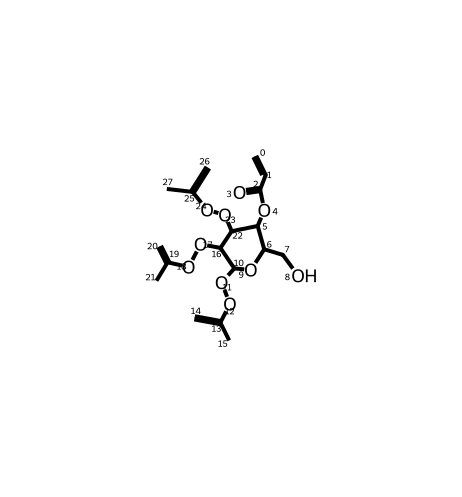 C=CC(=O)OC1C(CO)OC(OOC(=C)C)C(OOC(=C)C)C1OOC(=C)C